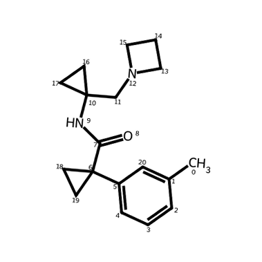 Cc1cccc(C2(C(=O)NC3(CN4CCC4)CC3)CC2)c1